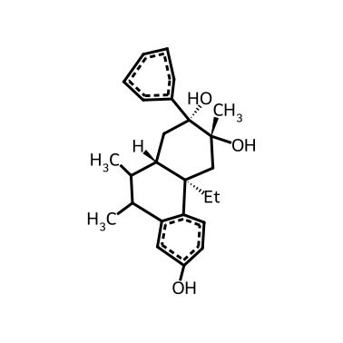 CC[C@@]12C[C@@](C)(O)[C@](O)(c3ccccc3)C[C@H]1C(C)C(C)c1cc(O)ccc12